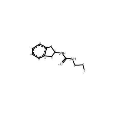 O=C(NCCF)NC1Cc2ccccc2C1